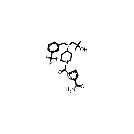 CC(C)(O)CN(Cc1cccc(C(F)(F)F)c1)C1CCN(C(=O)n2ccc(C(N)=O)n2)CC1